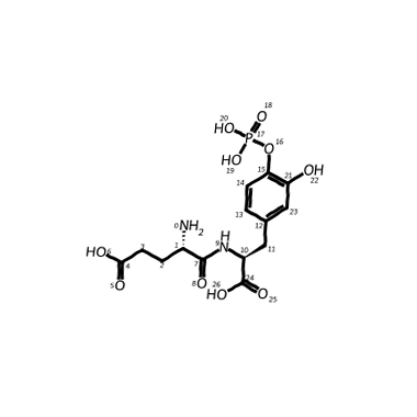 N[C@@H](CCC(=O)O)C(=O)N[C@@H](Cc1ccc(OP(=O)(O)O)c(O)c1)C(=O)O